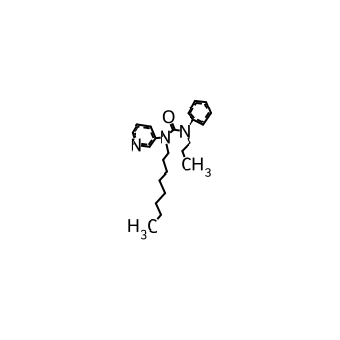 CCCCCCCCN(C(=O)N(CCC)c1ccccc1)c1cccnc1